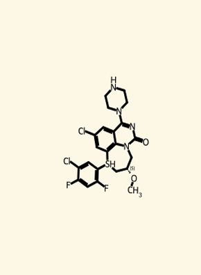 CO[C@H]1Cn2c(=O)nc(N3CCNCC3)c3cc(Cl)cc(c32)[SH](c2cc(Cl)c(F)cc2F)C1